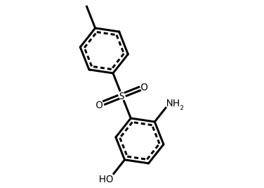 Cc1ccc(S(=O)(=O)c2cc(O)ccc2N)cc1